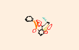 O=P(OC1CS(=O)(=O)CC1F)(c1ccccc1)c1ccccc1